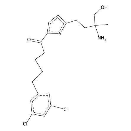 CC(N)(CO)CCc1ccc(C(=O)CCCCc2cc(Cl)cc(Cl)c2)s1